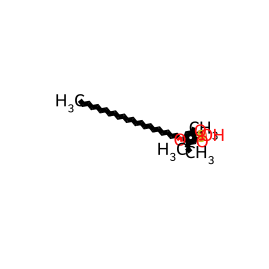 CCCCCCCCCCCCCCCCCCCCCCCOc1cc(C)c(S(=O)(=O)O)cc1C(C)C